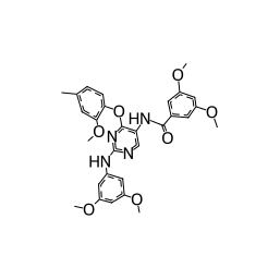 COc1cc(Nc2ncc(NC(=O)c3cc(OC)cc(OC)c3)c(Oc3ccc(C)cc3OC)n2)cc(OC)c1